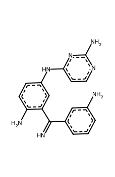 N=C(c1cccc(N)c1)c1cc(Nc2ccnc(N)n2)ccc1N